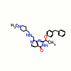 CC(Oc1ccc(Cc2ccccc2)cc1)c1nc2c(CNCC3CCN(C)CC3)nccc2c(=O)[nH]1